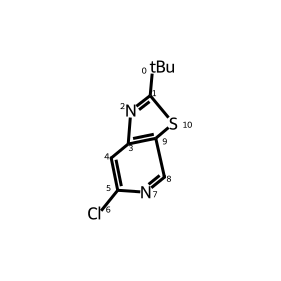 CC(C)(C)c1nc2cc(Cl)ncc2s1